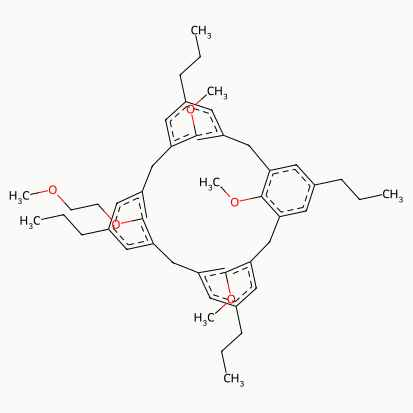 CCCc1cc2c(OC)c(c1)Cc1cc(CCC)cc(c1OC)Cc1cc(CCC)cc(c1OCCOC)Cc1cc(CCC)cc(c1OC)C2